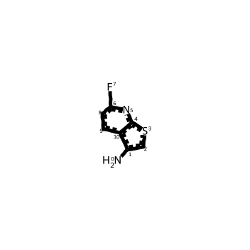 Nc1csc2nc(F)ccc12